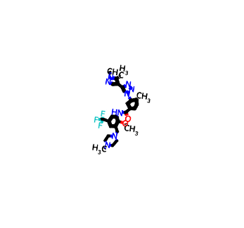 COc1c(CN2CCN(C)CC2)cc(C(F)(F)F)cc1NC(=O)c1ccc(C)c(-n2cc(-c3cnn(C)c3C)nn2)c1